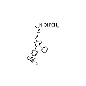 CN(O)C(=S)SCC=Cc1nc(-c2ccc(S(N)(=O)=O)cc2)c(-c2ccccc2)o1